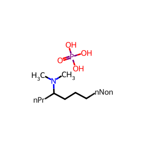 CCCCCCCCCCCCC(CCC)N(C)C.O=P(O)(O)O